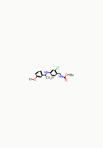 CCOc1cccc(C(Nc2ccc(CNC(=O)OC(C)(C)C)c(Cl)c2)C(=O)O)c1